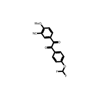 COc1ccc(C(=O)C(=O)c2ccc(OC(F)F)cc2)cc1C#N